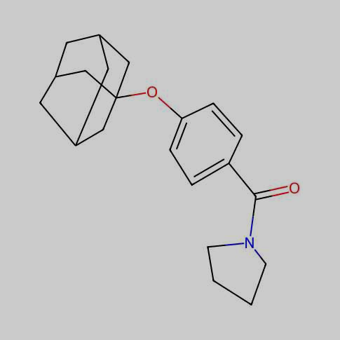 O=C(c1ccc(OC23CC4CC(CC(C4)C2)C3)cc1)N1CCCC1